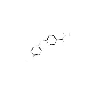 Cc1ccc(Oc2ccc(C(C)N)cc2)cc1